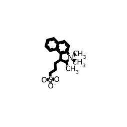 CC1C(CCCS(=O)(=O)[O-])c2c(ccc3ccccc23)[N+]1(C)C